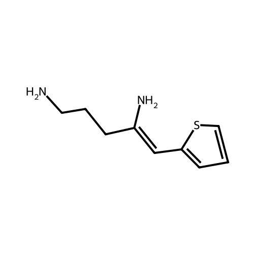 NCCCC(N)=Cc1cccs1